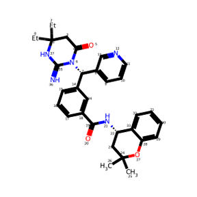 CCC1(CC)CC(=O)N([C@H](c2cccnc2)c2cccc(C(=O)N[C@H]3CC(C)(C)Oc4ccccc43)c2)C(=N)N1